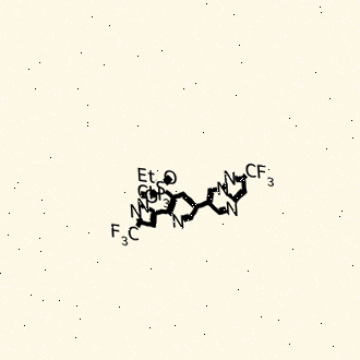 CCS(=O)(=O)c1cc(-c2cnc3cc(C(F)(F)F)nn3c2)cnc1-c1cc(C(F)(F)F)nn1C